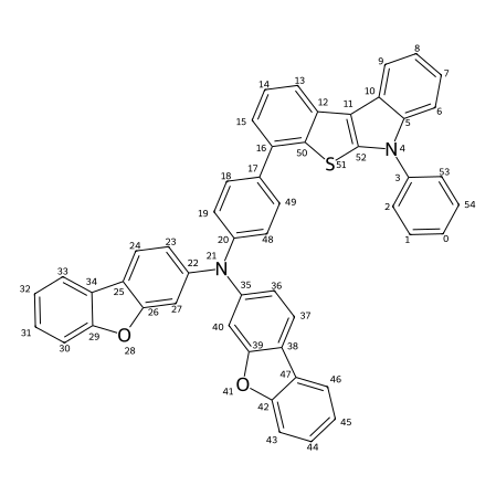 c1ccc(-n2c3ccccc3c3c4cccc(-c5ccc(N(c6ccc7c(c6)oc6ccccc67)c6ccc7c(c6)oc6ccccc67)cc5)c4sc32)cc1